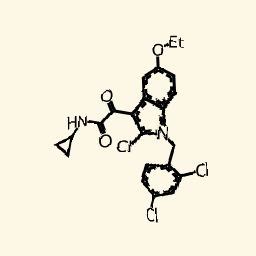 CCOc1ccc2c(c1)c(C(=O)C(=O)NC1CC1)c(Cl)n2Cc1ccc(Cl)cc1Cl